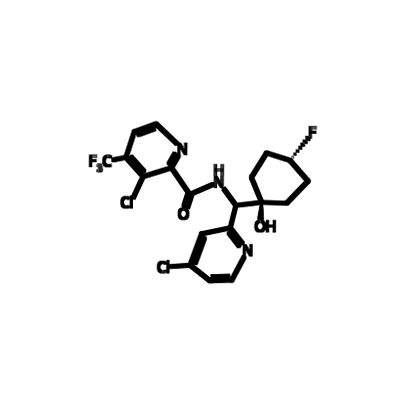 O=C(NC(c1cc(Cl)ccn1)[C@]1(O)CC[C@H](F)CC1)c1nccc(C(F)(F)F)c1Cl